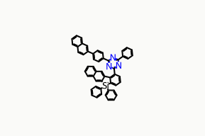 c1ccc(-c2nc(-c3ccc(-c4ccc5ccccc5c4)cc3)nc(-c3cccc4c3-c3cc5ccccc5cc3[Si]4(c3ccccc3)c3ccccc3)n2)cc1